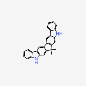 CC1(C)c2cc3[nH]c4ccccc4c3cc2-c2cc3c(cc21)[nH]c1ccccc13